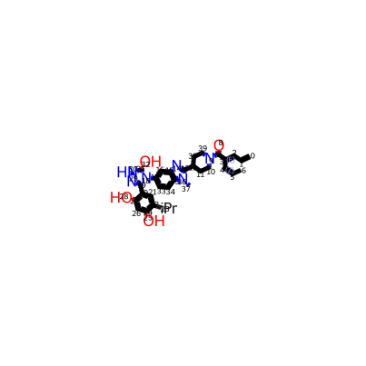 C=C/C=C(\C=C/C)C(=O)N1CCC(c2nc3cc(N4C(c5cc(C(C)C)c(O)cc5O)=NNC4O)ccc3n2C)CC1